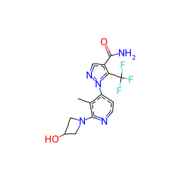 Cc1c(-n2ncc(C(N)=O)c2C(F)(F)F)ccnc1N1CC(O)C1